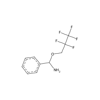 NC(OCC(F)(F)C(F)(F)F)c1ccccc1